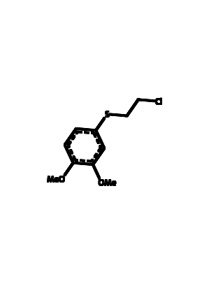 COc1ccc(SCCCl)cc1OC